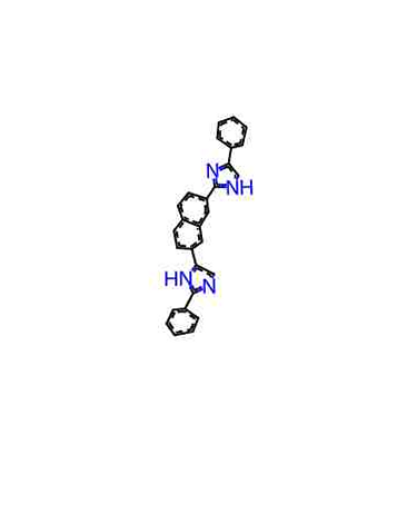 c1ccc(-c2c[nH]c(-c3ccc4ccc(-c5cnc(-c6ccccc6)[nH]5)cc4c3)n2)cc1